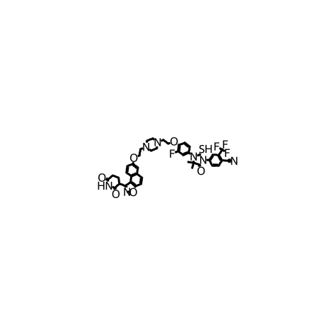 CC1(C)C(=O)N(c2ccc(C#N)c(C(F)(F)F)c2)C(S)N1c1ccc(OCCN2CCN(CCOc3ccc4c(ccc5onc(C6CCC(=O)NC6=O)c54)c3)CC2)c(F)c1